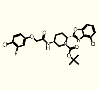 CC(C)(C)OC(=O)N1C[C@@H](NC(=O)COc2ccc(Cl)c(F)c2)CC[C@@H]1c1nc2c(Cl)cccc2o1